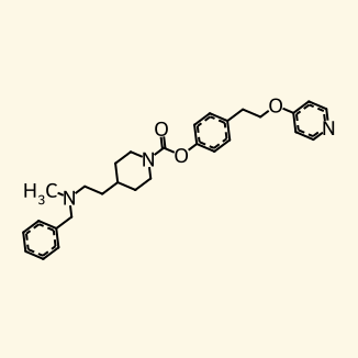 CN(CCC1CCN(C(=O)Oc2ccc(CCOc3ccncc3)cc2)CC1)Cc1ccccc1